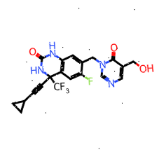 O=C1Nc2cc(Cn3cncc(CO)c3=O)c(F)cc2C(C#CC2CC2)(C(F)(F)F)N1